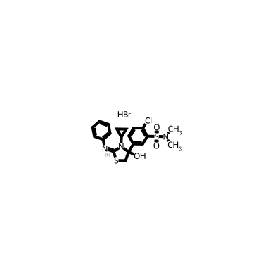 Br.CN(C)S(=O)(=O)c1cc(C2(O)CS/C(=N/c3ccccc3)N2C2CC2)ccc1Cl